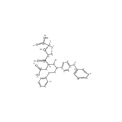 CC(C(CCc1ccccc1)c1ccc(Oc2ccccc2)cc1)N(CC(=O)O)C(=O)C1COC(C)(C(=O)O)O1